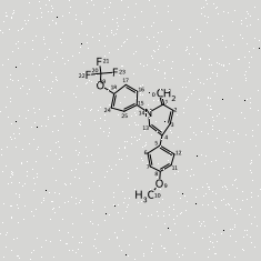 C=C1C=CC(c2ccc(OC)cc2)=CN1c1ccc(OC(F)(F)F)cc1